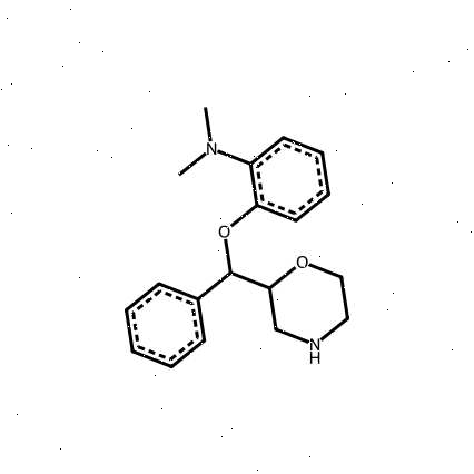 CN(C)c1ccccc1OC(c1ccccc1)C1CNCCO1